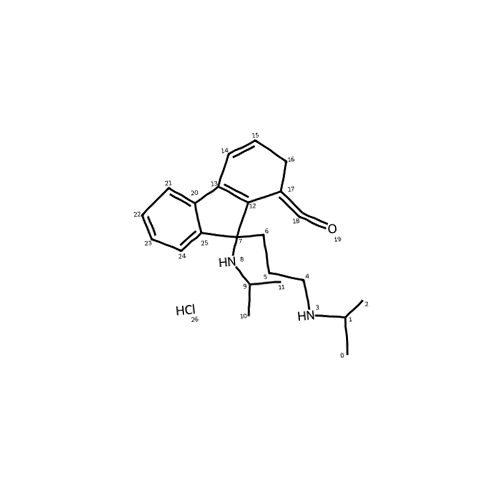 CC(C)NCCCC1(NC(C)C)C2=C(C=CCC2=C=O)c2ccccc21.Cl